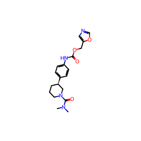 CN(C)C(=O)N1CCC[C@@H](c2ccc(NC(=O)OCc3cnco3)cc2)C1